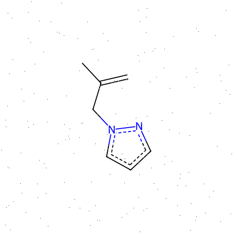 C=C(C)Cn1cccn1